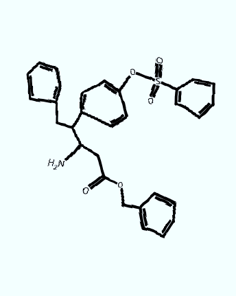 NC(CC(=O)OCc1ccccc1)C(Cc1ccccc1)c1ccc(OS(=O)(=O)c2ccccc2)cc1